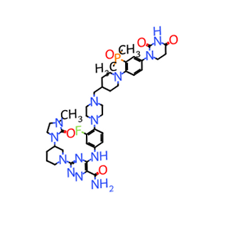 CN1CCN([C@@H]2CCCN(c3nnc(C(N)=O)c(Nc4ccc(N5CCN(CC6CCN(c7ccc(N8CCC(=O)NC8=O)cc7P(C)(C)=O)CC6)CC5)c(F)c4)n3)C2)C1=O